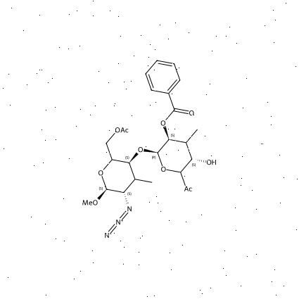 CO[C@H]1OC(COC(C)=O)[C@@H](O[C@@H]2OC(C(C)=O)[C@@H](O)C(C)[C@@H]2OC(=O)c2ccccc2)C(C)[C@@H]1N=[N+]=[N-]